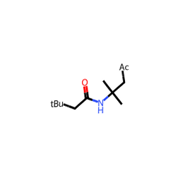 CC(=O)CC(C)(C)NC(=O)CC(C)(C)C